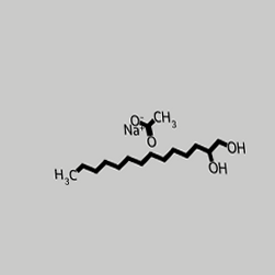 CC(=O)[O-].CCCCCCCCCCCCC(O)CO.[Na+]